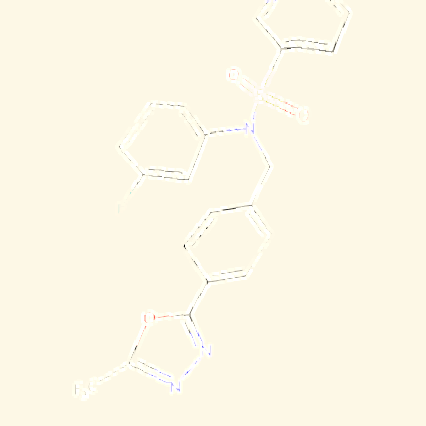 O=S(=O)(c1cccnc1)N(Cc1ccc(-c2nnc(C(F)(F)F)o2)cc1)c1cccc(F)c1